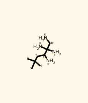 CC(C)(C)CC(N)C(N)(N)CN